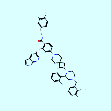 COc1c(Cl)cccc1CN1CCN(C2CC3(CCN(c4ccc(C(=O)NSc5ccc(N)c([N+](=O)[O-])c5)c(Oc5cnc6[nH]ccc6c5)c4)CC3)C2)C(c2ccccc2C(C)C)C1